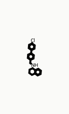 Clc1ccc(-c2ccc(CN[C@H]3CCCc4ccccc43)cc2)cc1